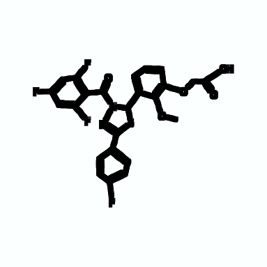 COc1c(OCC(=O)O)cccc1C1SC(c2ccc(F)cc2)=NN1C(=O)c1c(F)cc(F)cc1F